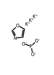 [K+].[K+].[K+].[O-]P([O-])[O-].c1cocn1